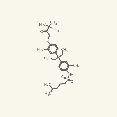 CCC(CC)(c1ccc(NS(=O)(=O)CCSC(C)C)c(C)c1)c1ccc(OCC(=O)C(C)(C)C)c(C)c1